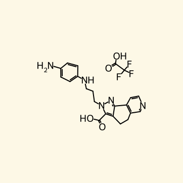 Nc1ccc(NCCCn2nc3c(c2C(=O)O)CCc2cnccc2-3)cc1.O=C(O)C(F)(F)F